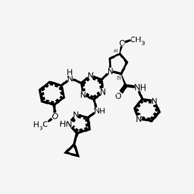 COc1cccc(Nc2nc(Nc3cc(C4CC4)[nH]n3)nc(N3C[C@@H](OC)C[C@H]3C(=O)Nc3cnccn3)n2)c1